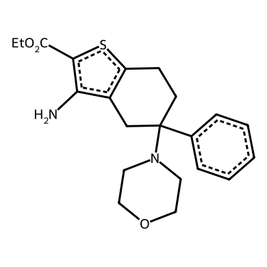 CCOC(=O)c1sc2c(c1N)CC(c1ccccc1)(N1CCOCC1)CC2